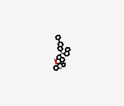 c1ccc(-c2ccc3cc(N(c4cccc5ccccc45)c4ccc5c6c(cccc46)C4(c6ccccc6Oc6ccccc64)c4ccccc4-5)ccc3c2)cc1